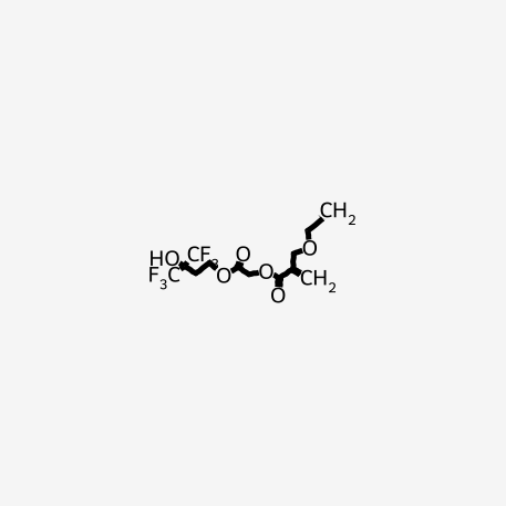 C=CCOCC(=C)C(=O)OCC(=O)OCCC(O)(C(F)(F)F)C(F)(F)F